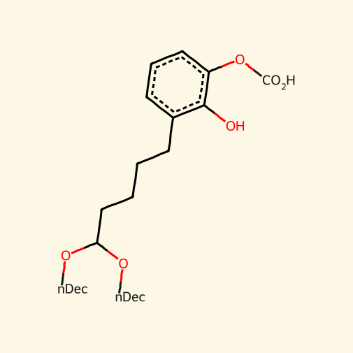 CCCCCCCCCCOC(CCCCc1cccc(OC(=O)O)c1O)OCCCCCCCCCC